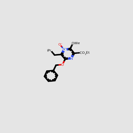 CCOC(=O)c1nc(OCc2ccccc2)c(CC(C)C)[n+]([O-])c1OC